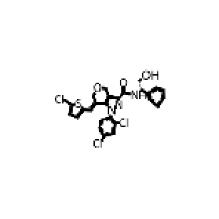 O=C(N[C@H](CO)c1ccccc1)c1nn(-c2ccc(Cl)cc2Cl)c2c1COC/C2=C\C1=CCC(Cl)S1